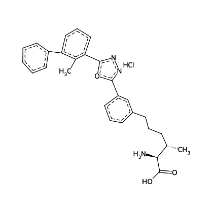 Cc1c(-c2ccccc2)cccc1-c1nnc(-c2cccc(CCC[C@H](C)[C@H](N)C(=O)O)c2)o1.Cl